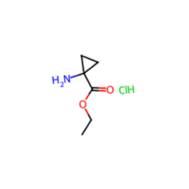 CCOC(=O)C1(N)CC1.Cl